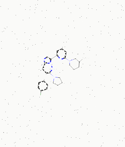 CNC1CCCN(c2cccc(-c3cnc4ccc(N5CCC[C@@H]5c5cccc(F)c5)nn34)n2)C1